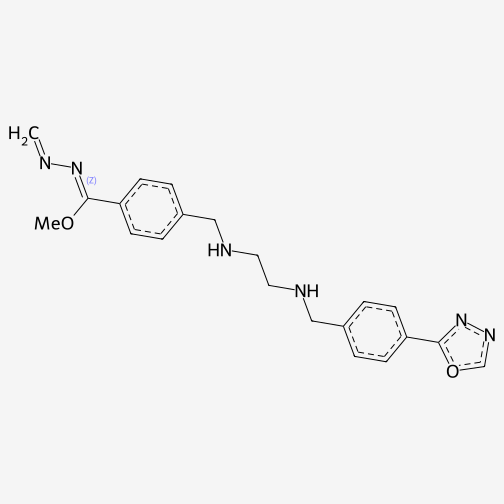 C=N/N=C(\OC)c1ccc(CNCCNCc2ccc(-c3nnco3)cc2)cc1